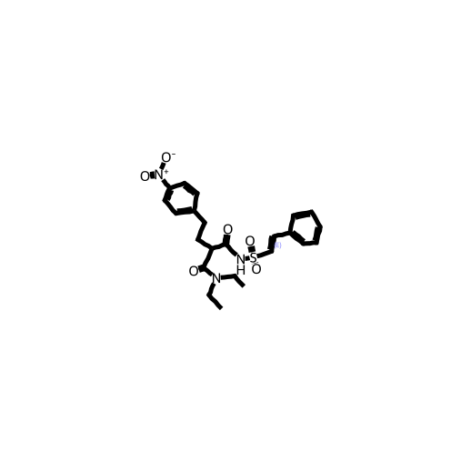 CCN(CC)C(=O)C(CCc1ccc([N+](=O)[O-])cc1)C(=O)NS(=O)(=O)/C=C/c1ccccc1